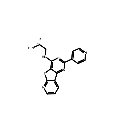 C[C@@H](N)CNc1nc(-c2ccncc2)nc2c1sc1ncccc12